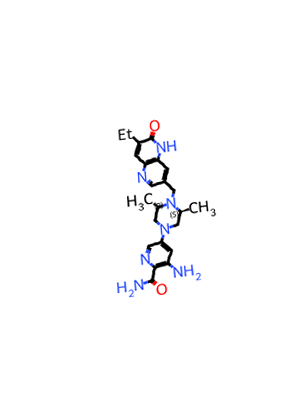 CCc1cc2ncc(CN3[C@H](C)CN(c4cnc(C(N)=O)c(N)c4)C[C@@H]3C)cc2[nH]c1=O